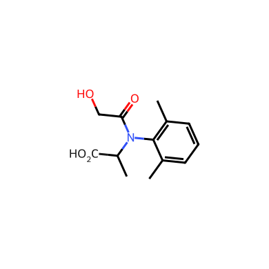 Cc1cccc(C)c1N(C(=O)CO)C(C)C(=O)O